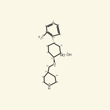 Cl.Cl.FC(F)(F)c1cnccc1[C@H]1CC[C@H](OCC2CCNCC2)CC1